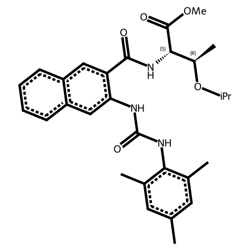 COC(=O)[C@@H](NC(=O)c1cc2ccccc2cc1NC(=O)Nc1c(C)cc(C)cc1C)[C@@H](C)OC(C)C